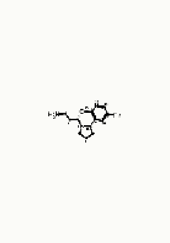 NCCCN1[CH]CC[C@@H]1c1cc(F)cnc1Cl